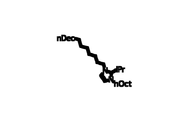 CCCCCCCCCCCCCCCCCN1C=CN(CCCCCCCC)C1C(C)C